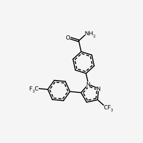 NC(=O)c1ccc(-n2nc(C(F)(F)F)cc2-c2ccc(C(F)(F)F)cc2)cc1